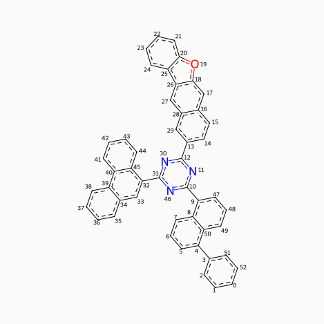 c1ccc(-c2cccc3c(-c4nc(-c5ccc6cc7oc8ccccc8c7cc6c5)nc(-c5cc6ccccc6c6ccccc56)n4)cccc23)cc1